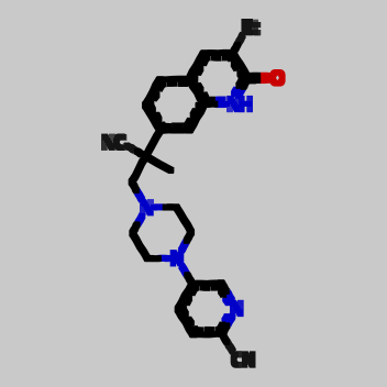 CCc1cc2ccc(C(C)(C#N)CN3CCN(c4ccc(C#N)nc4)CC3)cc2[nH]c1=O